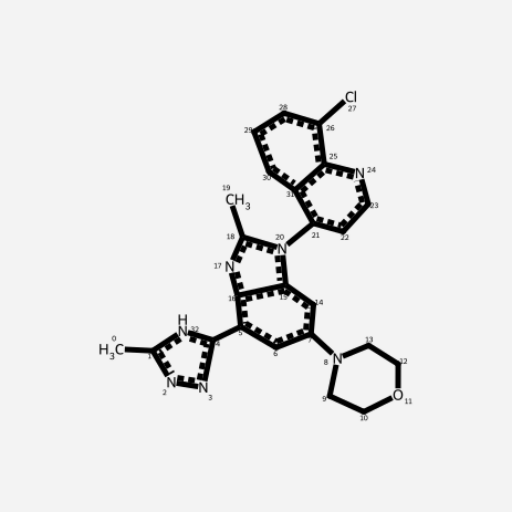 Cc1nnc(-c2cc(N3CCOCC3)cc3c2nc(C)n3-c2ccnc3c(Cl)cccc23)[nH]1